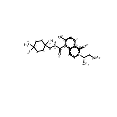 CNC[C@@H](C)n1ccc2c(C(=O)NCC3(O)CCC(C)(F)CC3)c(Cl)ccc2c1=O